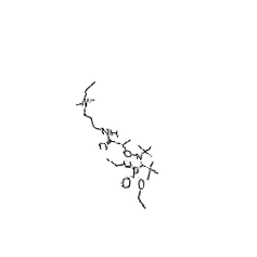 CCOP(=O)(OCC)C(N(OC(C)C(=O)NCCC[N+](C)(C)CC)C(C)(C)C)C(C)(C)C